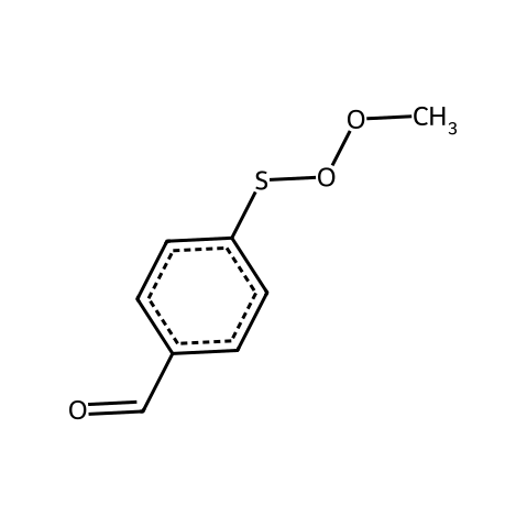 COOSc1ccc(C=O)cc1